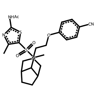 CC(=O)Nc1nc(C)c(S(=O)(=O)N(C)C2C3CCC2CN(CCOc2ccc(C#N)cc2)C3)s1